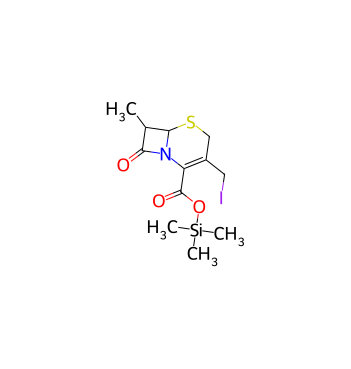 CC1C(=O)N2C(C(=O)O[Si](C)(C)C)=C(CI)CSC12